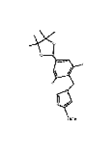 COc1cn(Cc2c(F)cc(B3OC(C)(C)C(C)(C)O3)cc2F)cn1